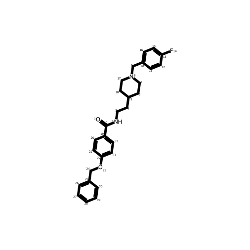 O=C(NCCC1CCN(Cc2ccc(F)cc2)CC1)c1ccc(OCc2ccccc2)cc1